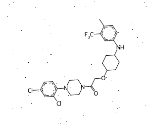 Cc1ccc(NC2CCC(OCC(=O)N3CCN(c4ccc(Cl)cc4Cl)CC3)CC2)cc1C(F)(F)F